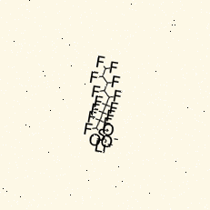 O=S(=O)([O-])C(F)C(F)(F)C(F)(F)C(F)(F)C(F)C(F)C(F)C(F)C(F)F.[Li+]